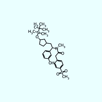 CN(C(=O)Cc1ccc(S(C)(=O)=O)cc1)C(CC1CCC(O[Si](C)(C)C(C)(C)C)C1)c1cccc(O)c1